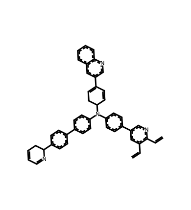 C=Cc1cc(-c2ccc(N(c3ccc(-c4ccc(C5CC=CC=N5)cc4)cc3)C3C=CC(c4cnc5ccccc5c4)=CC3)cc2)cnc1C=C